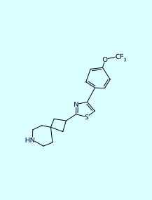 FC(F)(F)Oc1ccc(-c2csc(C3CC4(CCNCC4)C3)n2)cc1